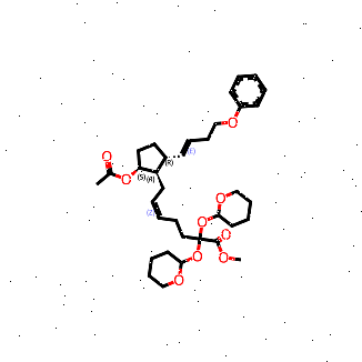 COC(=O)C(CC/C=C\C[C@H]1[C@@H](OC(C)=O)CC[C@@H]1/C=C/CCOc1ccccc1)(OC1CCCCO1)OC1CCCCO1